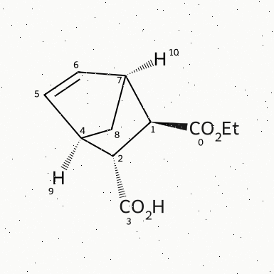 CCOC(=O)[C@H]1[C@H](C(=O)O)[C@H]2C=C[C@@H]1C2